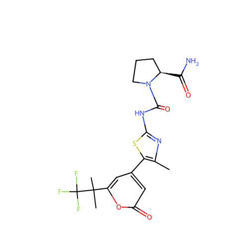 Cc1nc(NC(=O)N2CCC[C@H]2C(N)=O)sc1-c1cc(C(C)(C)C(F)(F)F)oc(=O)c1